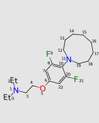 CCN(CC)CCOc1cc(F)c(N2CCCCCCCC2)c(F)c1